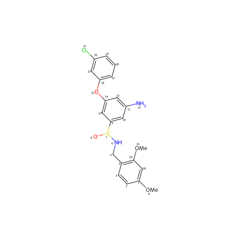 COc1ccc(CN[S+]([O-])c2cc(N)cc(Oc3cccc(Cl)c3)c2)c(OC)c1